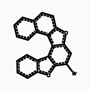 Brc1cc2oc3ccc4ccccc4c3c2c2c1oc1ccccc12